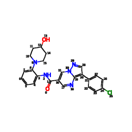 O=C(Nc1ccccc1N1CCC(O)CC1)c1cnc2c(-c3ccc(Cl)cc3)cnn2c1